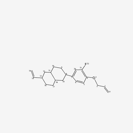 C=CCOc1ccc(C2CCC3CC(C=C)CCC3C2)cc1F